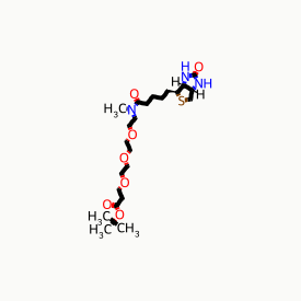 CN(CCOCCOCCOCCC(=O)OC(C)(C)C)C(=O)CCCC[C@@H]1SC[C@@H]2NC(=O)N[C@@H]21